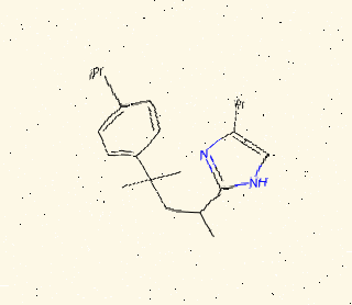 CC(C)c1ccc(C(C)(C)CC(C)c2nc(C(C)C)c[nH]2)cc1